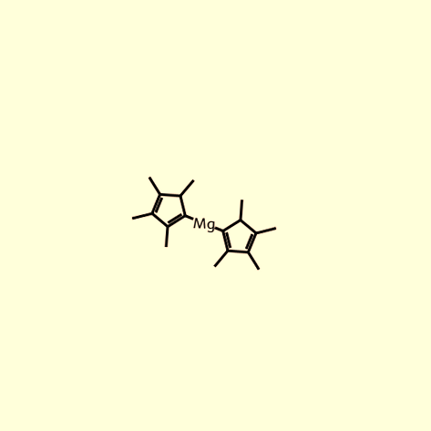 CC1=C(C)C(C)[C]([Mg][C]2=C(C)C(C)=C(C)C2C)=C1C